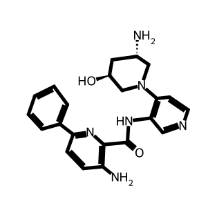 Nc1ccc(-c2ccccc2)nc1C(=O)Nc1cnccc1N1C[C@@H](N)C[C@H](O)C1